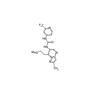 COCCc1c(NC(=O)Nc2ccnc(C(F)(F)F)c2)cnc2cc(C)nn12